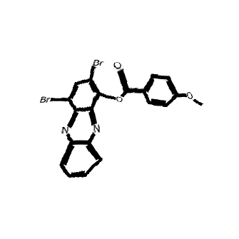 COc1ccc(C(=O)Oc2c(Br)cc(Br)c3nc4ccccc4nc23)cc1